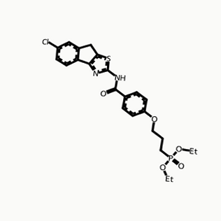 CCOP(=O)(CCCOc1ccc(C(=O)Nc2nc3c(s2)Cc2cc(Cl)ccc2-3)cc1)OCC